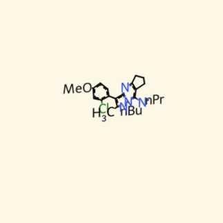 CCCCN(CCC)c1c2c(nc3c(-c4ccc(OC)cc4Cl)c(C)nn13)CCC2